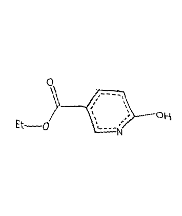 CCOC(=O)c1[c]cc(O)nc1